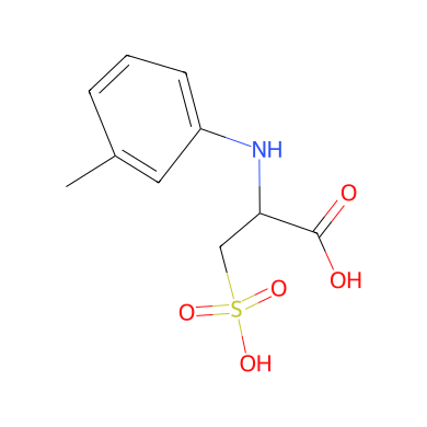 Cc1cccc(NC(CS(=O)(=O)O)C(=O)O)c1